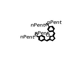 CCCCCN(CCCCC)c1ccc(C=C2CCC(=Cc3ccc(N(CCCCC)CCCCC)cc3)C2=O)cc1